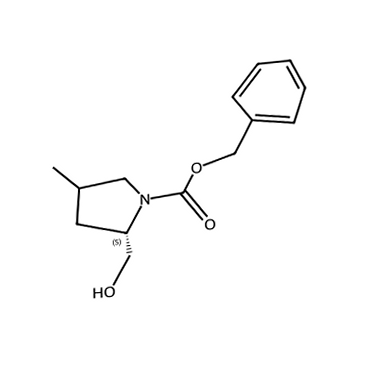 CC1C[C@@H](CO)N(C(=O)OCc2ccccc2)C1